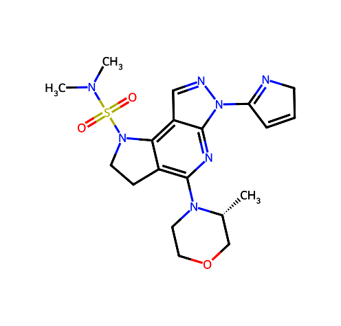 C[C@@H]1COCCN1c1nc2c(cnn2C2=NCC=C2)c2c1CCN2S(=O)(=O)N(C)C